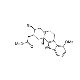 CC[C@H]1CN2CCc3c([nH]c4cccc(OC)c34)[C@@H]2C[C@H]1CC(=O)OC